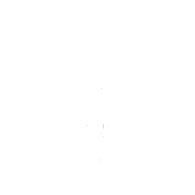 O=C(NN1CCOc2ccccc21)c1cnc2c(-c3cc(F)cc(F)c3F)cccc2c1C1CC1